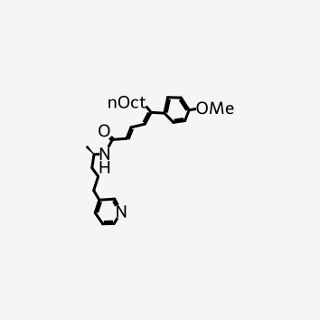 CCCCCCCC/C(=C\C=C\C(=O)N[C@H](C)CCCc1cccnc1)c1ccc(OC)cc1